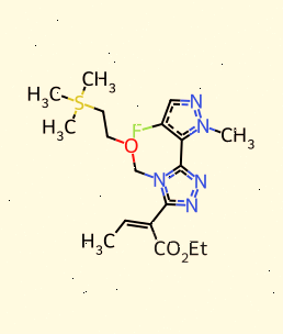 C/C=C(\C(=O)OCC)c1nnc(-c2c(F)cnn2C)n1COCCS(C)(C)C